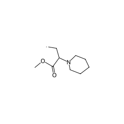 [CH2]CC(C(=O)OC)N1CCCCC1